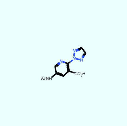 CC(=O)Nc1cnc(-n2nccn2)c(C(=O)O)c1